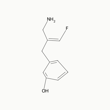 NCC(=CF)Cc1cccc(O)c1